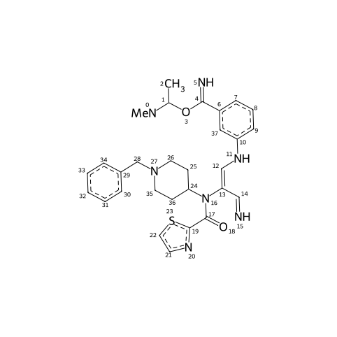 CNC(C)OC(=N)c1cccc(N/C=C(\C=N)N(C(=O)c2nccs2)C2CCN(Cc3ccccc3)CC2)c1